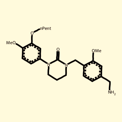 CCCCCOc1cc(N2CCCN(Cc3ccc(CN)cc3OC)C2=O)ccc1OC